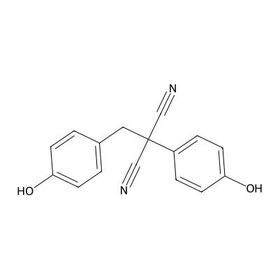 N#CC(C#N)(Cc1ccc(O)cc1)c1ccc(O)cc1